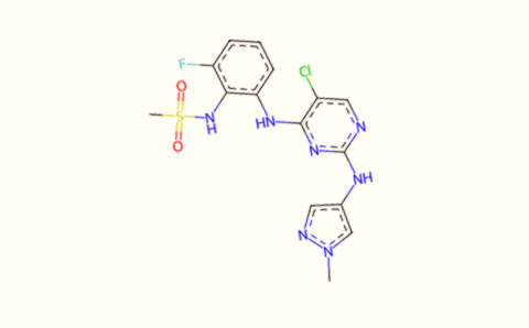 Cn1cc(Nc2ncc(Cl)c(Nc3cccc(F)c3NS(C)(=O)=O)n2)cn1